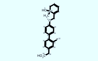 C[N+]1(O)CC=CC=C1COc1ccc(-c2ccc(CC(=O)O)cc2F)cc1